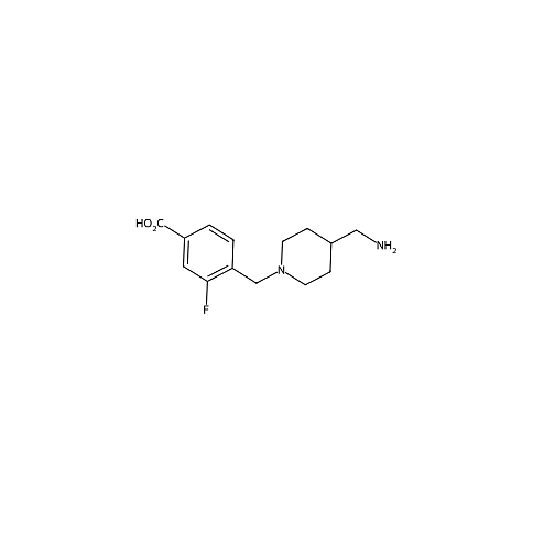 NCC1CCN(Cc2ccc(C(=O)O)cc2F)CC1